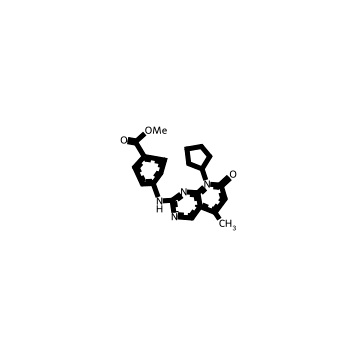 COC(=O)c1ccc(Nc2ncc3c(C)cc(=O)n(C4CCCC4)c3n2)cc1